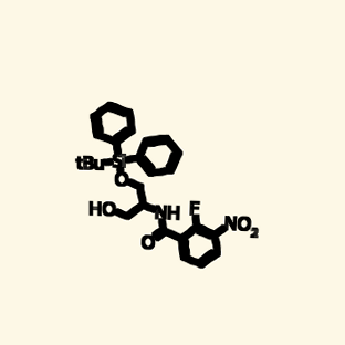 CC(C)(C)[Si](OCC(CO)NC(=O)c1cccc([N+](=O)[O-])c1F)(c1ccccc1)c1ccccc1